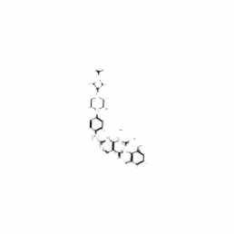 CC(=O)N1CC(N2CCN(c3ccc(Nc4ncc5c(=O)n(-c6c(Cl)cccc6Cl)c(=O)n(C)c5n4)cc3)CC2)C1